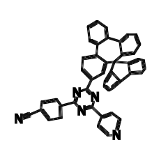 N#Cc1ccc(-c2nc(-c3ccncc3)nc(-c3ccc4c(c3)C3(c5ccccc5-c5ccccc5-4)c4ccccc4-c4ccccc43)n2)cc1